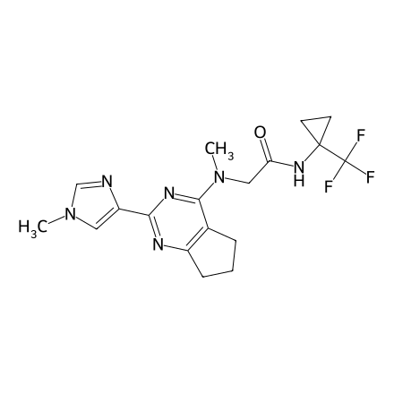 CN(CC(=O)NC1(C(F)(F)F)CC1)c1nc(-c2cn(C)cn2)nc2c1CCC2